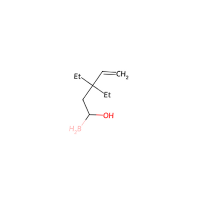 BC(O)CC(C=C)(CC)CC